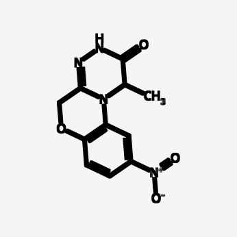 CC1C(=O)NN=C2COc3ccc([N+](=O)[O-])cc3N21